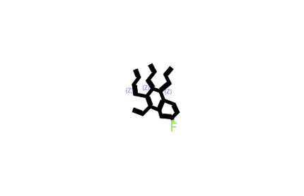 C=C/C=C\c1c(C=C)c2cc(F)ccc2c(=C/C=C)/c1=C\C=C